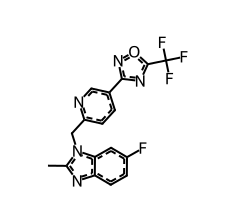 Cc1nc2ccc(F)cc2n1Cc1ccc(-c2noc(C(F)(F)F)n2)cn1